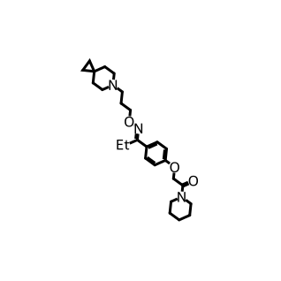 CC/C(=N\OCCCN1CCC2(CC1)CC2)c1ccc(OCC(=O)N2CCCCC2)cc1